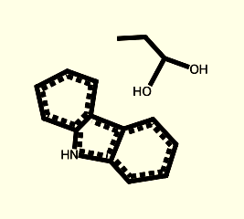 CCC(O)O.c1ccc2c(c1)[nH]c1ccccc12